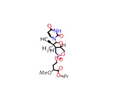 C#C[C@]1(C)[C@@H]2CP(=O)(OCC[C@H](OC)C(=O)OC(C)C)OC[C@H]2O[C@H]1n1ccc(=O)[nH]c1=O